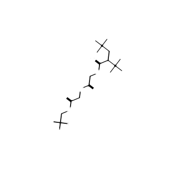 CC(C)(C)CC(C(=O)OCC(=O)OCC(=O)OCC(F)(F)F)C(C)(C)C